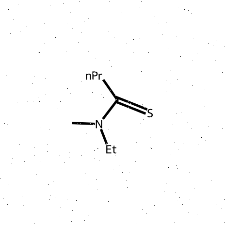 CCCC(=S)N(C)CC